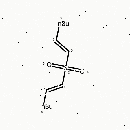 CCCCC=CS(=O)(=O)C=CCCCC